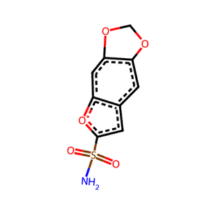 NS(=O)(=O)c1cc2cc3c(cc2o1)OCO3